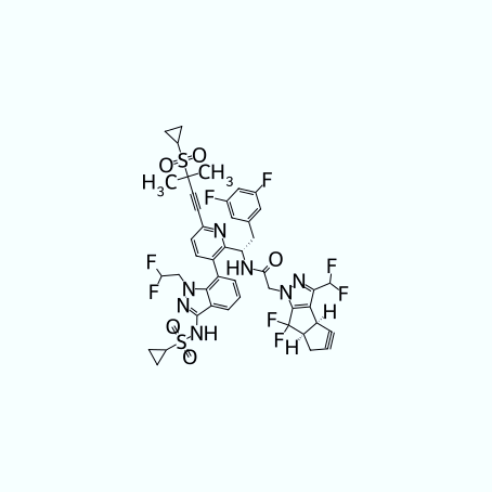 CC(C)(C#Cc1ccc(-c2cccc3c(NS(=O)(=O)C4CC4)nn(CC(F)F)c23)c([C@H](Cc2cc(F)cc(F)c2)NC(=O)Cn2nc(C(F)F)c3c2C(F)(F)[C@@H]2CC#C[C@H]32)n1)S(=O)(=O)C1CC1